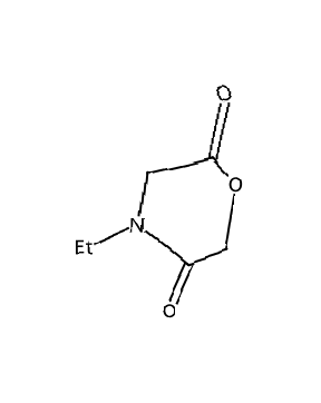 [CH2]CN1CC(=O)OCC1=O